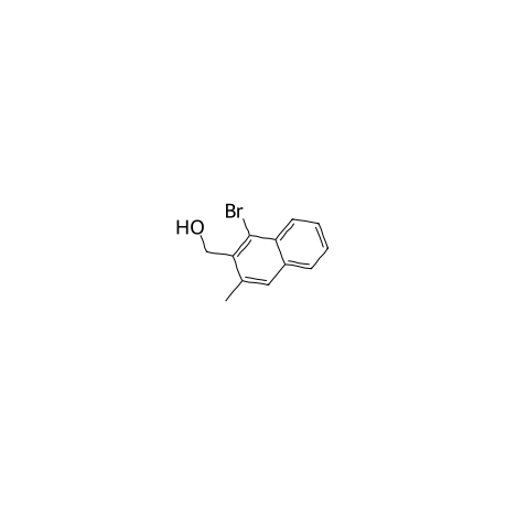 Cc1cc2ccccc2c(Br)c1CO